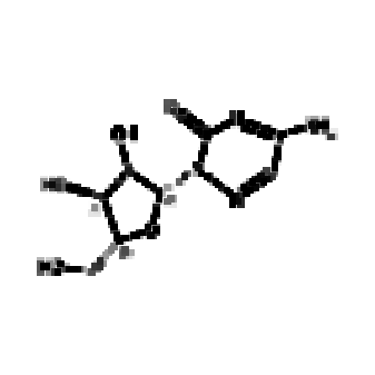 Nc1cnn([C@@H]2O[C@H](CO)[C@@H](O)C2O)c(=O)n1